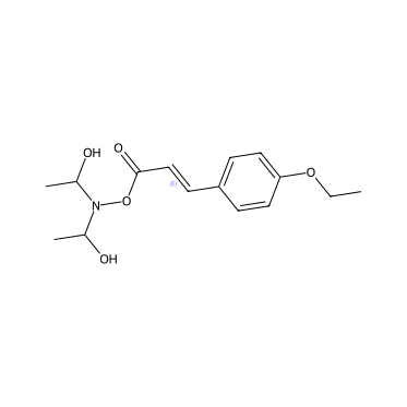 CCOc1ccc(/C=C/C(=O)ON(C(C)O)C(C)O)cc1